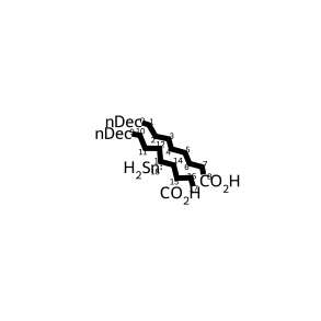 CCCCCCCCCCCCCCCCCC(=O)O.CCCCCCCCCCCCCCCCCC(=O)O.[SnH2]